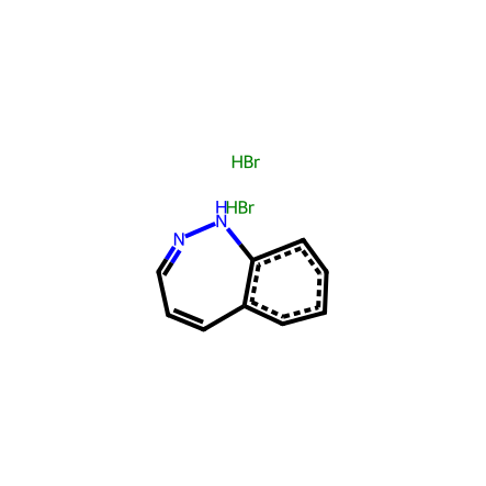 Br.Br.C1=Cc2ccccc2NN=C1